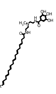 CCC=CCC=CCC=CCC=CCC=CCC=CCCC(=O)NCCN(C)CCNC(=O)c1cc(O)c(O)c(O)c1